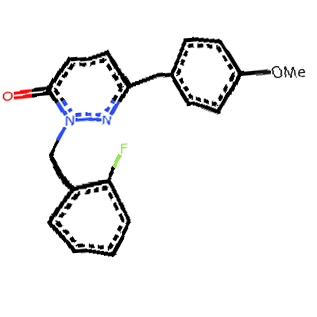 COc1ccc(-c2ccc(=O)n(Cc3ccccc3F)n2)cc1